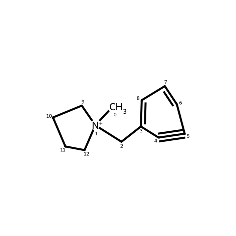 C[N+]1(Cc2c#cccc2)CCCC1